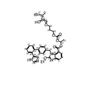 CCOc1nc2cccc(C(=O)OC(C)OC(=O)OCCCO/N=[N+](\O)N(C)C(C)(C)C)c2n1Cc1ccc(-c2ccccc2-c2nnn[nH]2)cc1